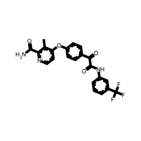 Cc1c(Oc2ccc(C(=O)C(=O)Nc3cccc(C(F)(F)F)c3)cc2)ccnc1C(N)=O